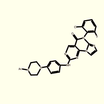 CC(=O)N1CCN(c2ccc(Nc3ncc4c(=O)n(-c5c(F)cccc5Cl)c5nccn5c4n3)cc2)CC1